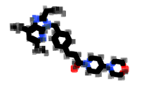 CCc1nc2c(C)cc(C)nc2n1Cc1ccc(/C=C/C(=O)N2CCC(N3CCOCC3)CC2)cc1